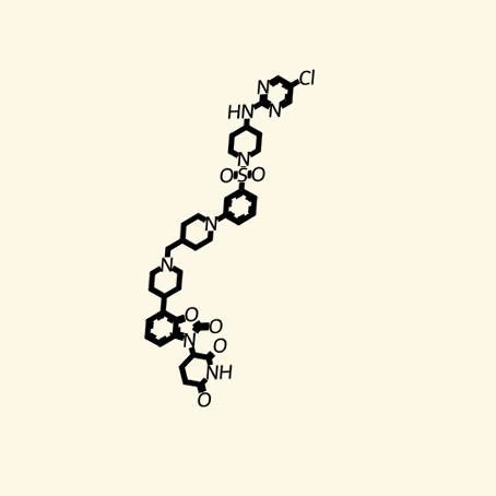 O=C1CCC(n2c(=O)oc3c(C4CCN(CC5CCN(c6cccc(S(=O)(=O)N7CCC(Nc8ncc(Cl)cn8)CC7)c6)CC5)CC4)cccc32)C(=O)N1